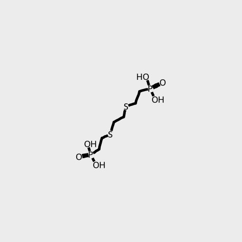 O=P(O)(O)CCSCCSCCP(=O)(O)O